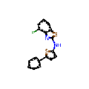 Fc1cccc2sc(Nc3ccc(-c4ccccc4)s3)nc12